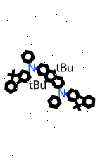 CC(C)(C)c1c2ccc(N(c3ccccc3)c3ccc4c(c3)C(C)(C)c3ccccc3-4)cc2c(C(C)(C)C)c2cc(N(c3ccccc3)c3ccc4c(c3)C(C)(C)c3ccccc3-4)ccc12